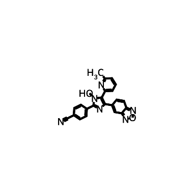 Cc1cccc(-c2c(-c3ccc4nonc4c3)nc(-c3ccc(C#N)cc3)n2O)n1